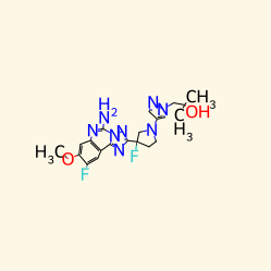 COc1cc2nc(N)n3nc([C@@]4(F)CCN(c5cnn(CC(C)(C)O)c5)C4)nc3c2cc1F